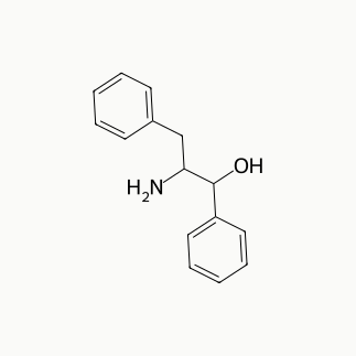 NC(Cc1ccccc1)C(O)c1ccccc1